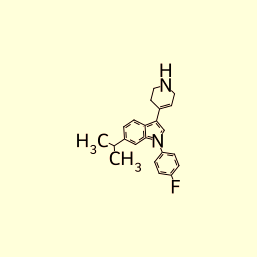 CC(C)c1ccc2c(C3=CCNCC3)cn(-c3ccc(F)cc3)c2c1